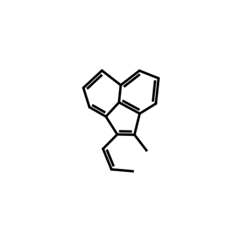 C/C=C\C1=C(C)c2cccc3cccc1c23